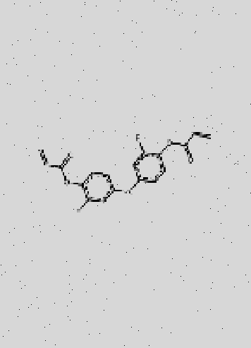 C=CC(=O)Oc1ccc(Sc2ccc(OC(=O)C=C)c(F)c2)cc1F